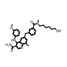 COc1cccc(Nc2c(C(N)=O)cnc3c(C)cc(Cc4cccc(C(=O)N(C)CCCCCCO)c4)cc23)c1